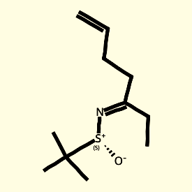 C=CCCC(CC)=N[S@+]([O-])C(C)(C)C